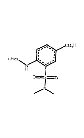 CCCCCCNc1ccc(C(=O)O)cc1S(=O)(=O)N(C)C